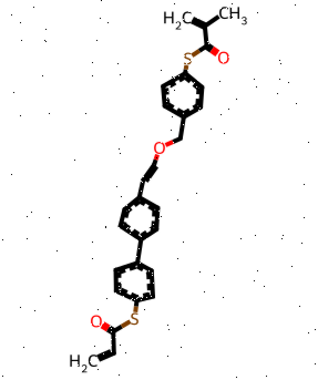 C=CC(=O)Sc1ccc(-c2ccc(/C=C/OCc3ccc(SC(=O)C(=C)C)cc3)cc2)cc1